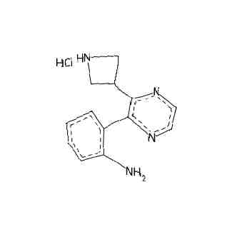 Cl.Nc1ccccc1-c1nccnc1C1CNC1